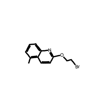 Cc1cccc2nc(OCCBr)ccc12